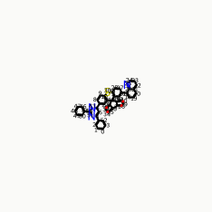 c1ccc(-c2cc(-c3ccc4c(c3)C3(c5cc(-c6cccc7cccnc67)ccc5S4)c4ccccc4-c4ccccc43)nc(-c3ccccc3)n2)cc1